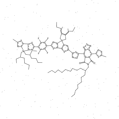 CCCCCCCCCCC(CCCCCCCC)CN1C(=O)c2c(c(-c3ccc(-c4cc5c(s4)-c4sc(-c6c(F)c(F)c(-c7cc8c(s7)-c7sc(C)cc7[Si]8(CC(CC)CCCC)CC(CC)CCCC)c(F)c6F)cc4[Si]5(CC(CC)CCCC)CC(CC)CCCC)s3)c3nsnc3c2-c2ccc(C)s2)C1=O